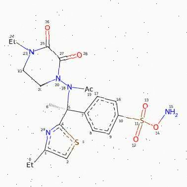 CCc1csc([C@](C)(c2ccc(S(=O)(=O)ON)cc2)N(C(C)=O)N2CCN(CC)C(=O)C2=O)n1